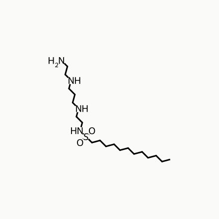 CCCCCCCCCCCCS(=O)(=O)NCCNCCCNCCN